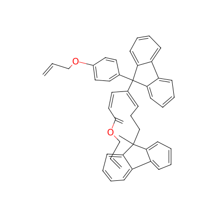 C=CCOC(=C)/C=C\C(=C/CCC1(C)c2ccccc2-c2ccccc21)C1(c2ccc(OCC=C)cc2)c2ccccc2-c2ccccc21